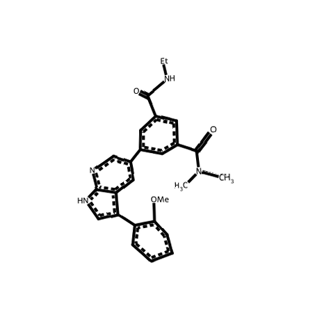 CCNC(=O)c1cc(C(=O)N(C)C)cc(-c2cnc3[nH]cc(-c4ccccc4OC)c3c2)c1